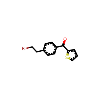 O=C(c1ccc(CCBr)cc1)c1cccs1